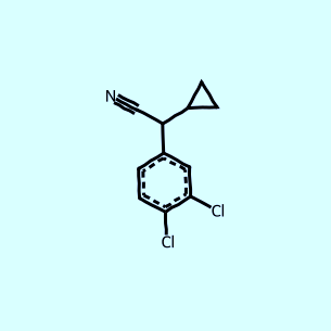 N#CC(c1ccc(Cl)c(Cl)c1)C1CC1